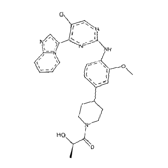 COc1cc(C2CCN(C(=O)[C@@H](C)O)CC2)ccc1Nc1ncc(Cl)c(-c2cnc3ccccn23)n1